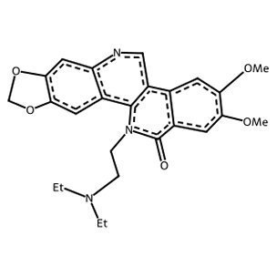 CCN(CC)CCn1c(=O)c2cc(OC)c(OC)cc2c2cnc3cc4c(cc3c21)OCO4